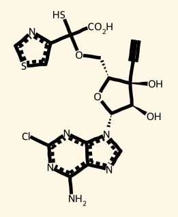 C#C[C@@]1(O)[C@@H](COC(S)(C(=O)O)c2cscn2)O[C@@H](n2cnc3c(N)nc(Cl)nc32)[C@@H]1O